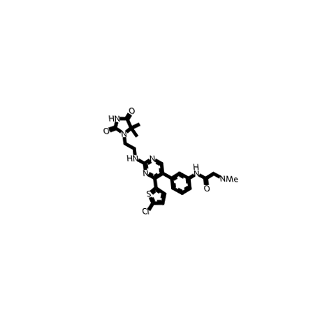 CNCC(=O)Nc1cccc(-c2cnc(NCCN3C(=O)NC(=O)C3(C)C)nc2-c2ccc(Cl)s2)c1